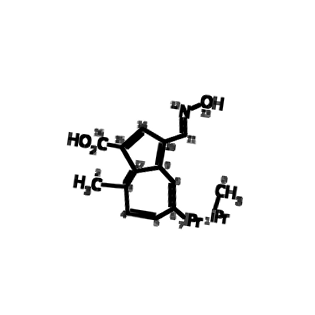 CC(C)C.Cc1ccc(C(C)C)cc2c(C=NO)cc(C(=O)O)c1-2